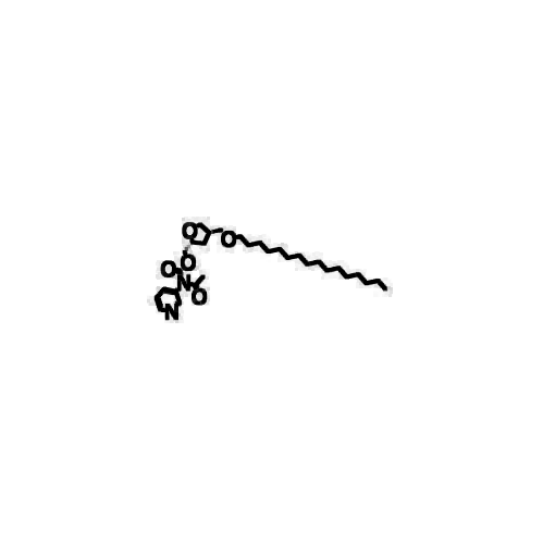 CCCCCCCCCCCCCCCCOC[C@@H]1CO[C@@H](COC(=O)N(C(C)=O)c2cccnc2)C1